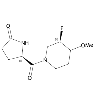 COC1CCN(C(=O)[C@H]2CCC(=O)N2)C[C@H]1F